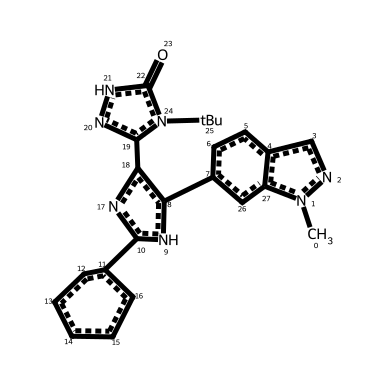 Cn1ncc2ccc(-c3[nH]c(-c4ccccc4)nc3-c3n[nH]c(=O)n3C(C)(C)C)cc21